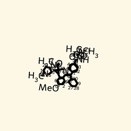 COc1ccc2c(c1)C1CC1(C(=O)N(C)C1CCN(C)CC1)Cn1c-2c(C2CCCCC2)c2ccc(C(=O)NS(=O)(=O)N(C)C)cc21